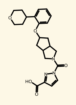 O=C(O)c1ccn(C(=O)N2CC3CC(Oc4ccccc4C4CCOCC4)CC3C2)n1